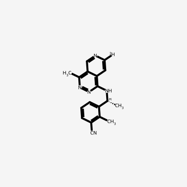 [2H]c1cc2c(N[C@H](C)c3cccc(C#N)c3C)nnc(C)c2cn1